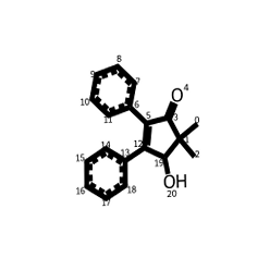 CC1(C)C(=O)C(c2ccccc2)=C(c2ccccc2)C1O